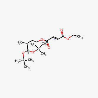 CCOC(=O)/C=C/C(=O)OCCC(C)[SiH](O[Si](C)(C)C)O[Si](C)(C)C